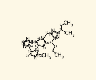 CCCCc1nc(C(C)CC)nn1Cc1ccc(-n2c(C)ccc2-c2nnn[nH]2)cc1